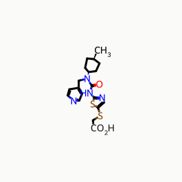 C[C@H]1CC[C@H](N(Cc2ccncc2)C(=O)Nc2ncc(SCC(=O)O)s2)CC1